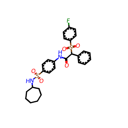 O=C(Nc1ccc(S(=O)(=O)NC2CCCCCC2)cc1)C(c1ccccc1)S(=O)(=O)c1ccc(F)cc1